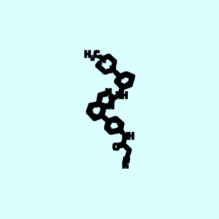 CN1CCN(c2cccc(Nc3ncc4cccc(-c5ccc(NC(=O)CC#N)cc5)c4n3)c2)CC1